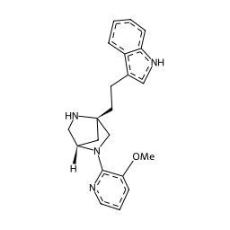 COc1cccnc1N1C[C@]2(CCc3c[nH]c4ccccc34)C[C@H]1CN2